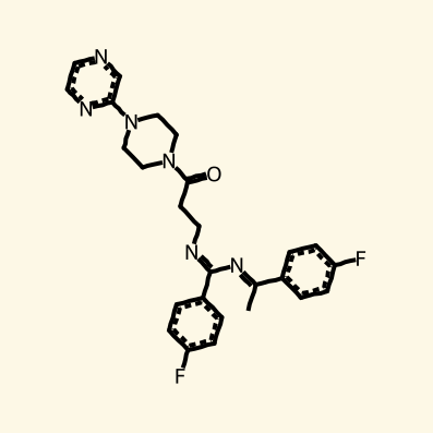 C/C(=N\C(=NCCC(=O)N1CCN(c2cnccn2)CC1)c1ccc(F)cc1)c1ccc(F)cc1